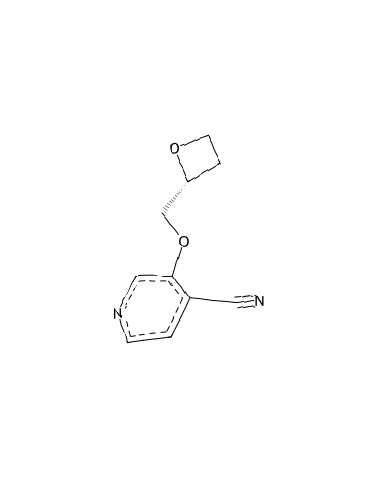 N#Cc1ccncc1OC[C@H]1CCO1